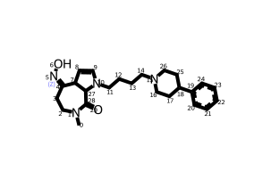 CN1CC/C(=N/O)C2C=CN(CCCCN3CCC(c4ccccc4)CC3)C2C1=O